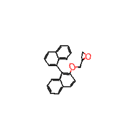 c1ccc2c(-c3c(OCC4CO4)ccc4ccccc34)cccc2c1